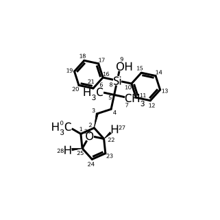 CC1[C@@H](CCC(C)(C)[Si](O)(c2ccccc2)c2ccccc2)[C@@H]2C=C[C@H]1O2